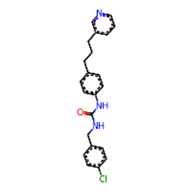 O=C(NCc1ccc(Cl)cc1)Nc1ccc(CCCc2cccnc2)cc1